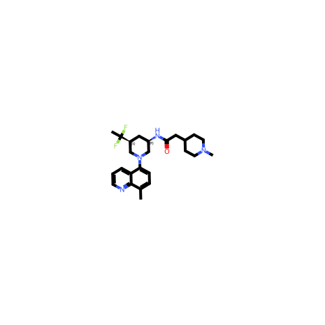 Cc1ccc(N2C[C@H](NC(=O)CC3CCN(C)CC3)C[C@H](C(C)(F)F)C2)c2cccnc12